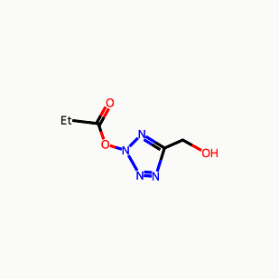 CCC(=O)On1nnc(CO)n1